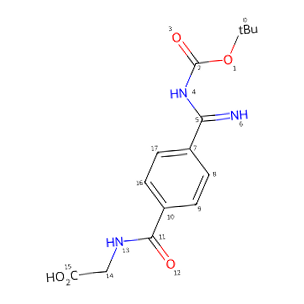 CC(C)(C)OC(=O)NC(=N)c1ccc(C(=O)NCC(=O)O)cc1